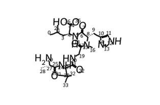 CC(C)C[C@H](NC(=O)[C@H](Cc1c[nH]cn1)N(C)C(=O)CNC(=O)[C@@H](NC(=O)[C@H](C)N)C(C)(C)C)C(=O)O